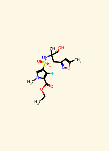 CCOC(=O)c1c(F)c(S(=O)(=O)NC(C)(CO)Cc2cc(C)on2)cn1C